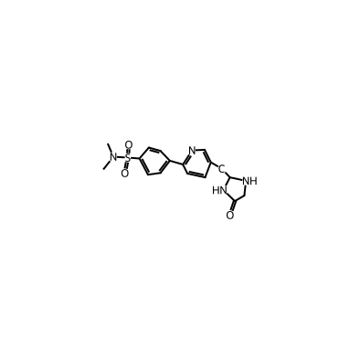 CN(C)S(=O)(=O)c1ccc(-c2ccc(CC3NCC(=O)N3)cn2)cc1